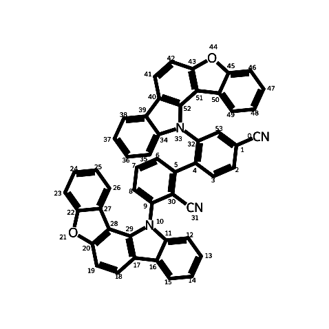 N#Cc1ccc(-c2cccc(-n3c4ccccc4c4ccc5oc6ccccc6c5c43)c2C#N)c(-n2c3ccccc3c3ccc4oc5ccccc5c4c32)c1